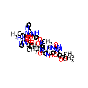 CCNC(=O)c1nnc(-c2cc(C(C)C)c(O)cc2O)n1-c1ccc(CN2CCC(C(=O)N3CCC(N(C)C(=O)Oc4ccc(C(=O)N[C@@H](CCc5ccccc5)C(=O)N[C@@H](CC(C)C)C(=O)N[C@@H](Cc5ccccc5)C(=O)N[C@@H](CC(C)C)C(=O)[C@@]5(C)CO5)cc4)CC3)CC2)cc1